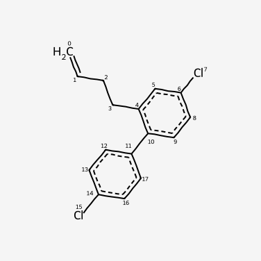 C=CCCc1cc(Cl)ccc1-c1ccc(Cl)cc1